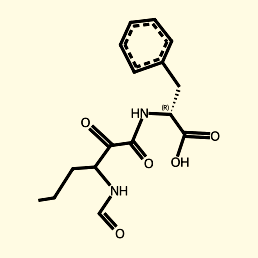 CCCC(NC=O)C(=O)C(=O)N[C@H](Cc1ccccc1)C(=O)O